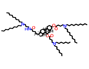 CCCCCCCCCCN(CCCCCCCCCC)CCCNC(=O)CC[C@@H](C)[C@H]1CC[C@H]2[C@@H]3[C@@H](OC(=O)CCCN(CCCCCCC)CCCCCCC)C[C@@H]4C[C@H](OC(=O)CCCN(CCCCCCCCCC)CCCCCCCCCC)CC[C@]4(C)[C@H]3CC[C@]12C